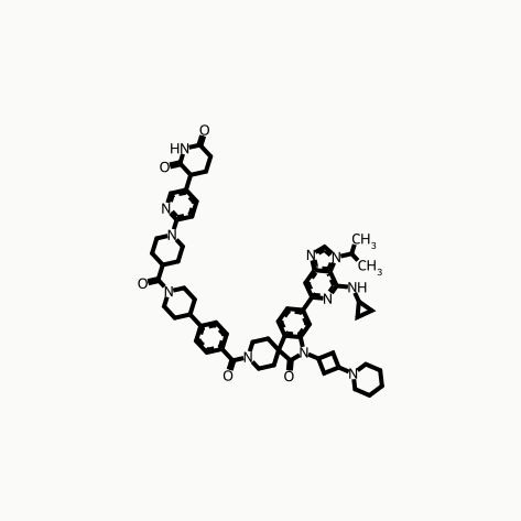 CC(C)n1cnc2cc(-c3ccc4c(c3)N(C3CC(N5CCCCC5)C3)C(=O)C43CCN(C(=O)c4ccc(C5CCN(C(=O)C6CCN(c7ccc(C8CCC(=O)NC8=O)cn7)CC6)CC5)cc4)CC3)nc(NC3CC3)c21